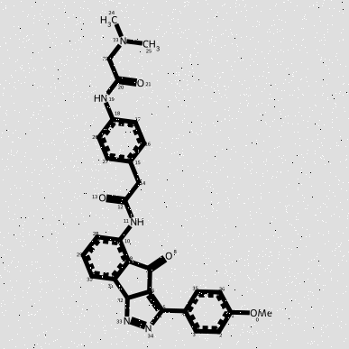 COc1ccc(C2=C3C(=O)c4c(NC(=O)Cc5ccc(NC(=O)CN(C)C)cc5)cccc4C3N=N2)cc1